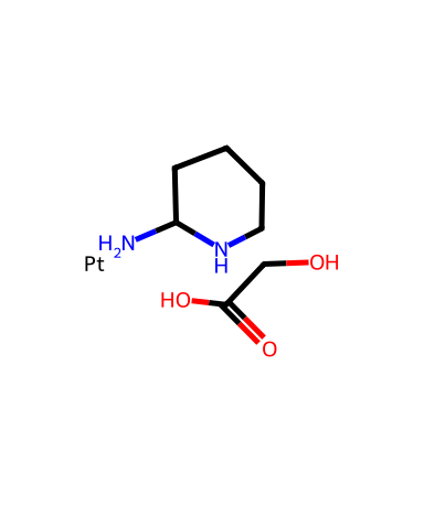 NC1CCCCN1.O=C(O)CO.[Pt]